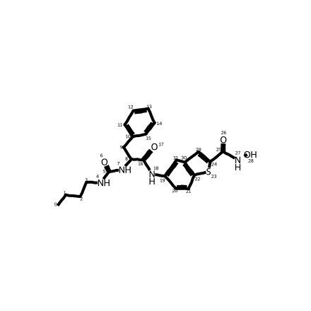 CCCCNC(=O)NC(Cc1ccccc1)C(=O)Nc1ccc2sc(C(=O)NO)cc2c1